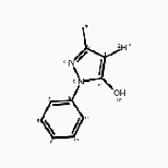 [2H]c1c(C)nn(-c2ccccc2)c1O